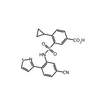 N#Cc1ccc(-c2ccsn2)c(NS(=O)(=O)c2cc(C(=O)O)ccc2C2CC2)c1